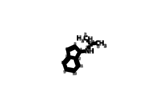 C[SiH](C)NC1C=Cc2ccccc21